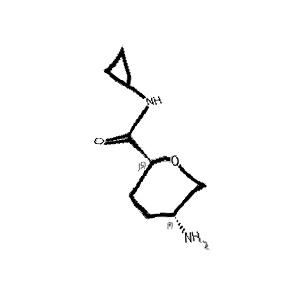 N[C@@H]1CC[C@@H](C(=O)NC2CC2)OC1